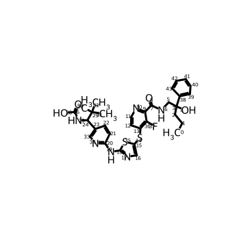 CCCC(O)(CNC(=O)c1nccc(Sc2cnc(Nc3ccc(C(NC(=O)O)C(C)(C)C)cn3)s2)c1F)c1ccccc1